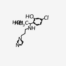 CC(NCCCn1ccnc1)c1ccc(Cl)cc1O.Cl.Cl